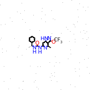 Cc1nc(NC(=O)N[C@H](C)c2ccccc2)cc2[nH]nc(OC(F)(F)F)c12